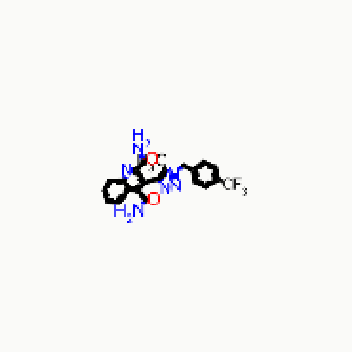 Cc1c(-c2c(C(N)=O)nc3ccccc3c2C(N)=O)nnn1Cc1ccc(C(F)(F)F)cc1